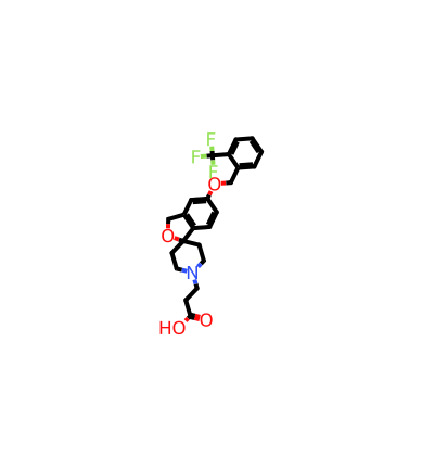 O=C(O)CCN1CCC2(CC1)OCc1cc(OCc3ccccc3C(F)(F)F)ccc12